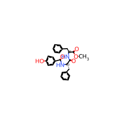 COC(=O)[C@H](Cc1ccccc1)NC(=O)[C@H](Cc1ccccc1)NC(=O)c1ccc(O)cc1